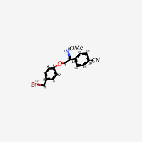 CON=C(COc1ccc(CBr)cc1)c1ccc(C#N)cc1